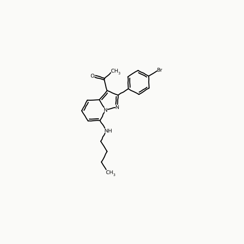 CCCCNc1cccc2c(C(C)=O)c(-c3ccc(Br)cc3)nn12